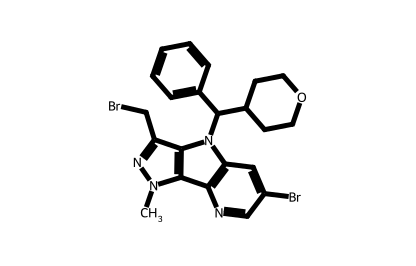 Cn1nc(CBr)c2c1c1ncc(Br)cc1n2C(c1ccccc1)C1CCOCC1